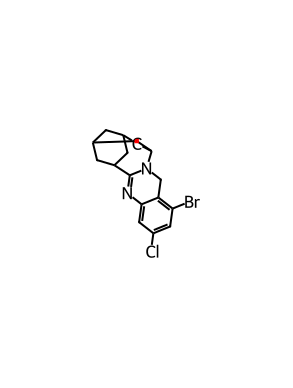 Clc1cc(Br)c2c(c1)N=C1C3CC4CC(C3)CC(C4)N1C2